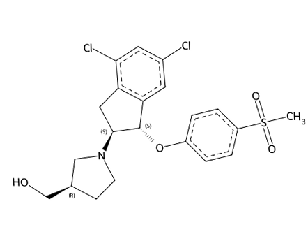 CS(=O)(=O)c1ccc(O[C@H]2c3cc(Cl)cc(Cl)c3C[C@@H]2N2CC[C@@H](CO)C2)cc1